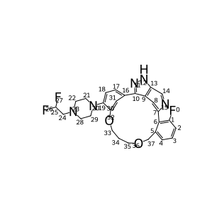 Fc1cccc2c1-c1cc3c(n[nH]c3cn1)-c1ccc(N3CCN(CC(F)F)CC3)c(c1)OCCCOC2